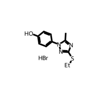 Br.CCSc1nc(C)n(-c2ccc(O)cc2)n1